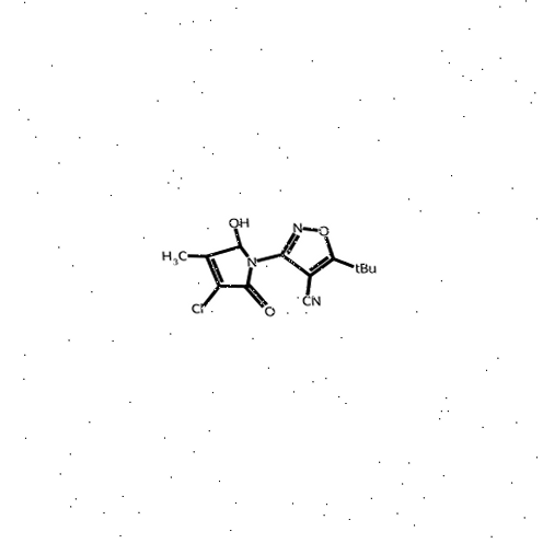 CC1=C(Cl)C(=O)N(c2noc(C(C)(C)C)c2C#N)C1O